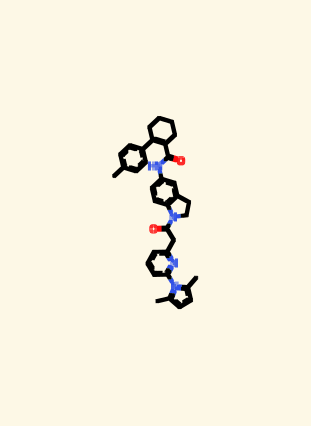 Cc1ccc(C2=C(C(=O)Nc3ccc4c(c3)CCN4C(=O)Cc3cccc(-n4c(C)ccc4C)n3)CCCC2)cc1